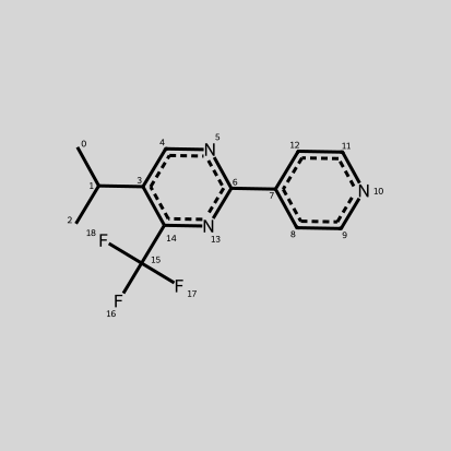 CC(C)c1cnc(-c2ccncc2)nc1C(F)(F)F